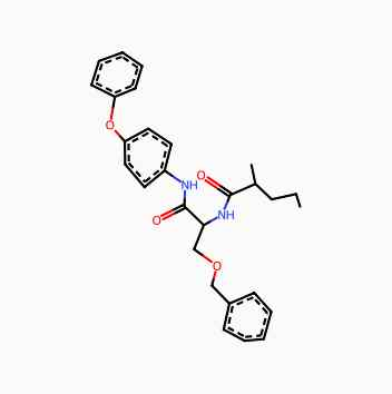 CCCC(C)C(=O)NC(COCc1ccccc1)C(=O)Nc1ccc(Oc2ccccc2)cc1